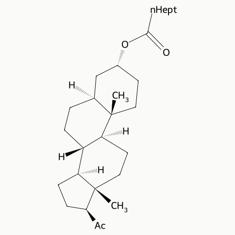 CCCCCCCC(=O)O[C@@H]1CC[C@@]2(C)[C@@H](CC[C@@H]3[C@@H]2CC[C@]2(C)[C@@H](C(C)=O)CC[C@@H]32)C1